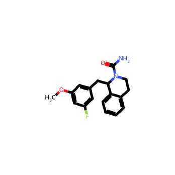 COc1cc(F)cc(CC2c3ccccc3CCN2C(N)=O)c1